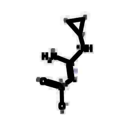 N/C(=C\[N+](=O)[O-])NC1CC1